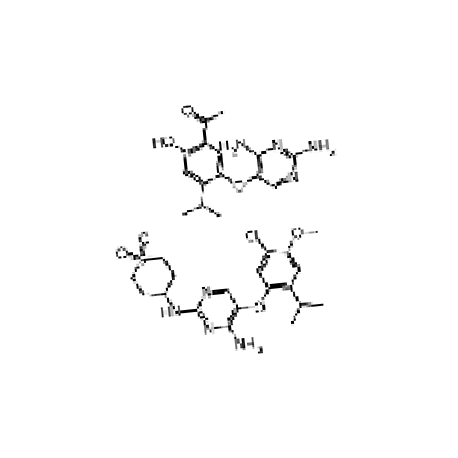 CC(=O)c1cc(Oc2cnc(N)nc2N)c(C(C)C)cc1O.COc1cc(C(C)C)c(Oc2cnc(NC3CCS(=O)(=O)CC3)nc2N)cc1Cl